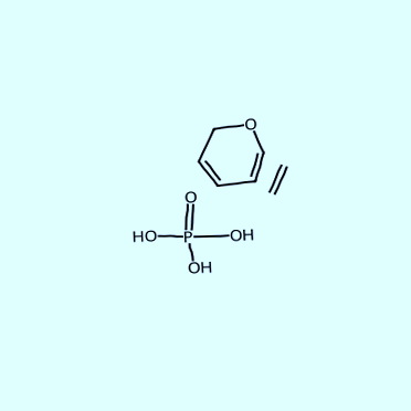 C1=CCOC=C1.C=C.O=P(O)(O)O